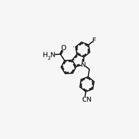 N#Cc1ccc(Cn2c3cc(F)c[c]c3c3c(C(N)=O)cccc32)cc1